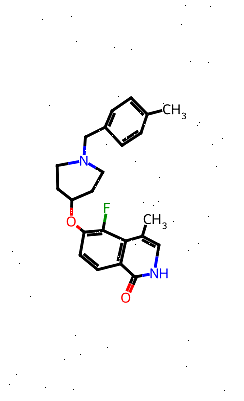 Cc1ccc(CN2CCC(Oc3ccc4c(=O)[nH]cc(C)c4c3F)CC2)cc1